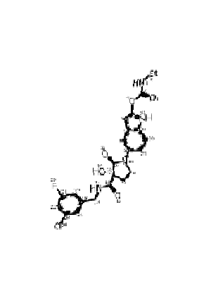 CCNC(=O)Oc1cc2cc(N3CC[C@@](O)(C(=O)NCc4cc(F)cc(Cl)c4)C3=O)ccc2[nH]1